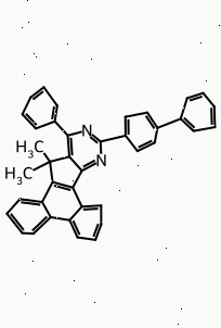 CC1(C)c2c(-c3ccccc3)nc(-c3ccc(-c4ccccc4)cc3)nc2-c2c1c1ccccc1c1ccccc21